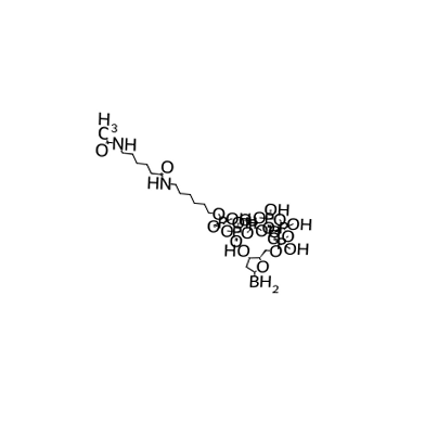 B[C@H]1CC(O)[C@@H](COP(=O)(O)OP(=O)(O)OP(=O)(O)OP(=O)(O)OP(=O)(O)OP(=O)(O)OCCCCCCNC(=O)CCCCCNC(C)=O)O1